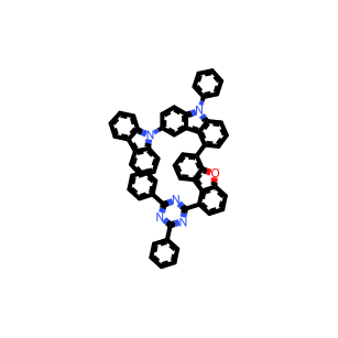 c1ccc(-c2nc(-c3ccccc3)nc(-c3cccc4oc5c(-c6cccc7c6c6cc(-n8c9ccccc9c9ccccc98)ccc6n7-c6ccccc6)cccc5c34)n2)cc1